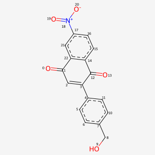 O=C1C=C(c2ccc(CO)cc2)C(=O)c2ccc([N+](=O)[O-])cc21